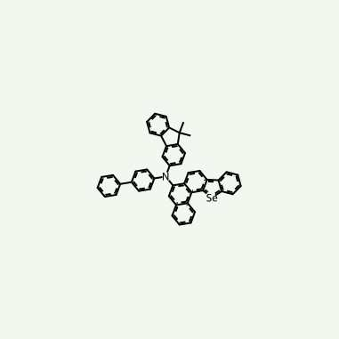 CC1(C)c2ccccc2-c2cc(N(c3ccc(-c4ccccc4)cc3)c3cc4ccccc4c4c3ccc3c5ccccc5[se]c34)ccc21